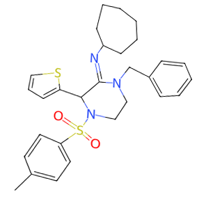 Cc1ccc(S(=O)(=O)N2CCN(Cc3ccccc3)/C(=N\C3CCCCCC3)C2c2cccs2)cc1